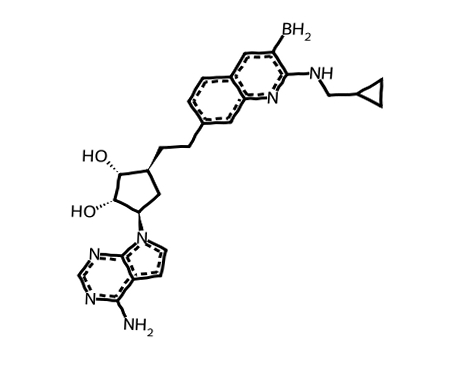 Bc1cc2ccc(CC[C@H]3C[C@@H](n4ccc5c(N)ncnc54)[C@H](O)[C@@H]3O)cc2nc1NCC1CC1